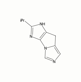 CC(C)c1nc2c([nH]1)Cc1cncn1-2